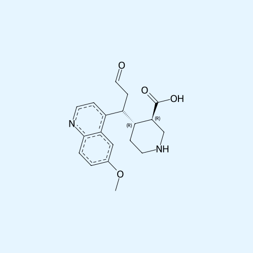 COc1ccc2nccc(C(CC=O)[C@H]3CCNC[C@@H]3C(=O)O)c2c1